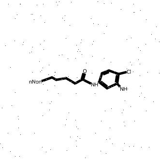 CCCCCCCCCCCCCC(=O)Nc1ccc(Cl)c([NH])c1